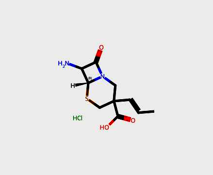 CC=CC1(C(=O)O)CS[C@@H]2C(N)C(=O)N2C1.Cl